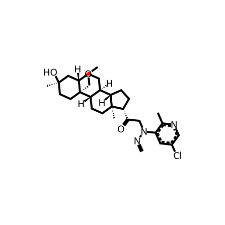 C=NN(CC(=O)[C@H]1CC[C@H]2[C@@H]3CC[C@H]4C[C@](C)(O)CC[C@]4(COC)[C@H]3CC[C@]12C)c1cc(Cl)cnc1C